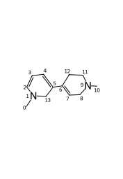 CN1C=CC=C(C2=CCN(C)CC2)C1